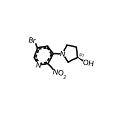 O=[N+]([O-])c1ncc(Br)cc1N1CC[C@@H](O)C1